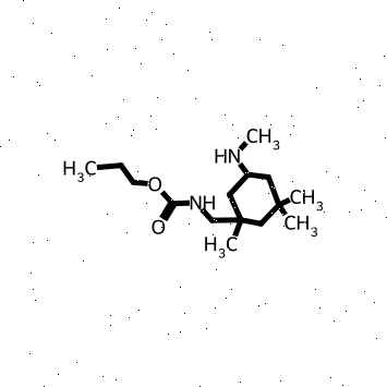 CCCOC(=O)NCC1(C)CC(NC)CC(C)(C)C1